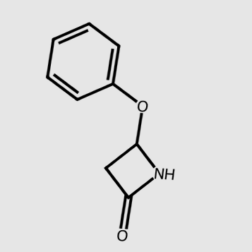 O=C1CC(Oc2ccccc2)N1